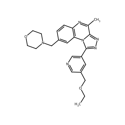 CCOCc1cncc(-c2nnc3c(C)nc4ccc(CN5CCOCC5)cc4n23)c1